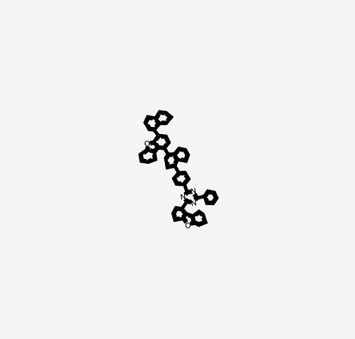 c1ccc(-c2nc(-c3ccc(-c4ccc(-c5ccc(-c6cccc7ccccc67)c6oc7ccccc7c56)c5ccccc45)cc3)nc(-c3cccc4oc5ccccc5c34)n2)cc1